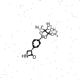 CC1(C)OB(c2ccc(C3CNC3=O)cc2)OC1(C)C